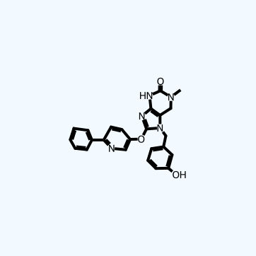 CN1Cc2c(nc(Oc3ccc(-c4ccccc4)nc3)n2Cc2cccc(O)c2)NC1=O